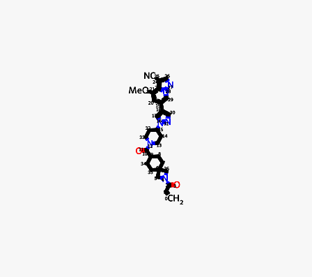 C=CC(=O)N1CC2(CCC(C(=O)N3CCC(n4cc(-c5cc(OC)c6c(C#N)cnn6c5)cn4)CC3)CC2)C1